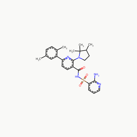 Cc1ccc(C)c(-c2ccc(C(=O)NS(=O)(=O)c3cccnc3N)c(N3CCC(C)C3(C)C)n2)c1